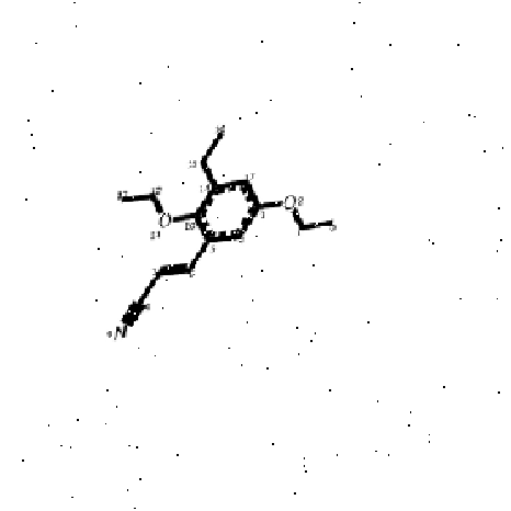 CCOc1cc(C=CC#N)c(OCC)c(CC)c1